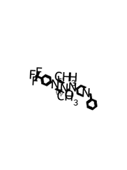 C[C@@H]1CN(c2ccc(C(F)(F)F)cc2)[C@@H](C)CN1C(=O)NC1CCN(Cc2ccccc2)CC1